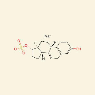 C[C@]12CC[C@H]3C(=CCc4cc(O)ccc43)[C@@H]1CC[C@@H]2OS(=O)(=O)[O-].[Na+]